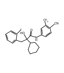 N#Cc1ccc(NC(=O)C(O)(Cc2ccccc2I)C2CCCCC2)cc1C(F)(F)F